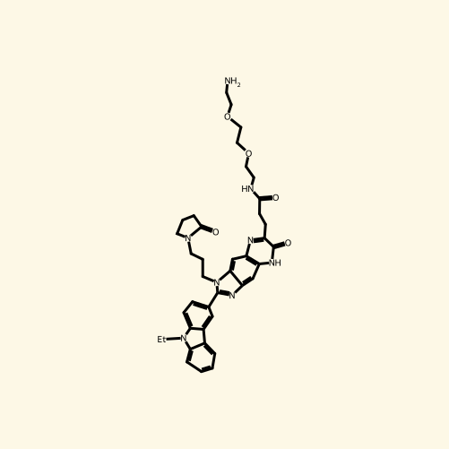 CCn1c2ccccc2c2cc(-c3nc4cc5[nH]c(=O)c(CCC(=O)NCCOCCOCCN)nc5cc4n3CCCN3CCCC3=O)ccc21